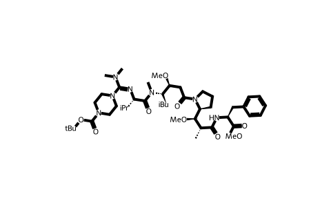 CC[C@H](C)[C@@H]([C@H](CC(=O)N1CCC[C@H]1[C@H](OC)[C@@H](C)C(=O)N[C@@H](Cc1ccccc1)C(=O)OC)OC)N(C)C(=O)[C@@H](/N=C(/N(C)C)N1CCN(C(=O)OC(C)(C)C)CC1)C(C)C